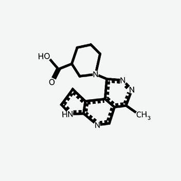 Cc1nnc(N2CCCC(C(=O)O)C2)c2c1cnc1[nH]ccc12